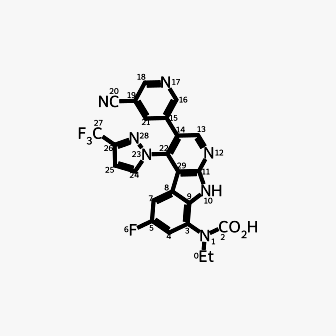 CCN(C(=O)O)c1cc(F)cc2c1[nH]c1ncc(-c3cncc(C#N)c3)c(-n3ccc(C(F)(F)F)n3)c12